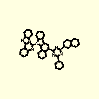 c1ccc(-c2nc(-c3ccc4ccccc4c3)nc(-c3cc4c5ccccc5n(-c5nc6ccccc6c6nc7ccccc7n56)c4c4ccccc34)n2)cc1